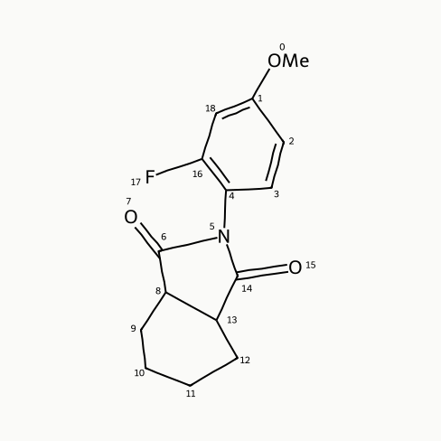 COc1ccc(N2C(=O)C3CCCCC3C2=O)c(F)c1